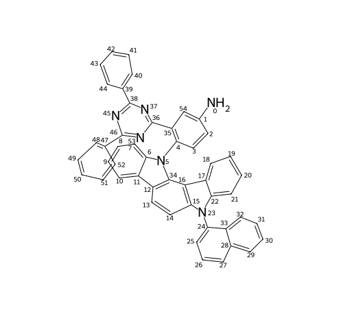 Nc1ccc(-n2c3ccccc3c3ccc4c(c5ccccc5n4-c4cccc5ccccc45)c32)c(-c2nc(-c3ccccc3)nc(-c3ccccc3)n2)c1